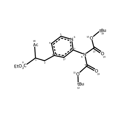 CCOC(=O)C(Cc1ccnc(N(C(=O)OC(C)(C)C)C(=O)OC(C)(C)C)c1)C(C)=O